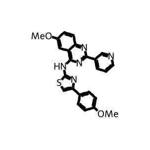 COc1ccc(-c2csc(Nc3nc(-c4cccnc4)nc4ccc(OC)cc34)n2)cc1